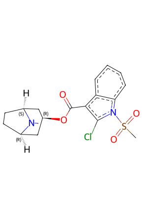 CN1[C@@H]2CC[C@H]1C[C@@H](OC(=O)c1c(Cl)n(S(C)(=O)=O)c3ccccc13)C2